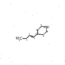 CCC=CC1CCNCC1